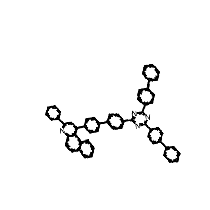 c1ccc(-c2ccc(-c3nc(-c4ccc(-c5ccccc5)cc4)nc(-c4ccc(-c5ccc(-c6cc(-c7ccccc7)nc7ccc8ccccc8c67)cc5)cc4)n3)cc2)cc1